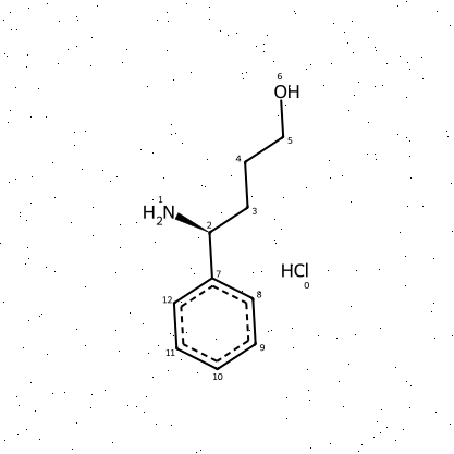 Cl.N[C@@H](CCCO)c1ccccc1